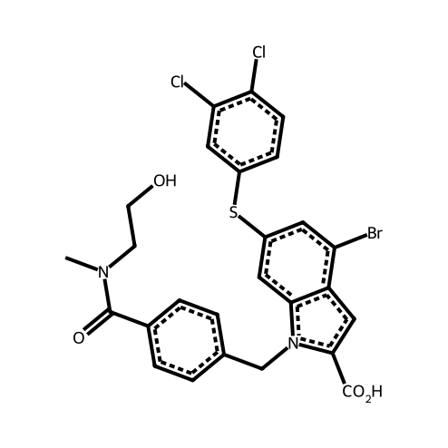 CN(CCO)C(=O)c1ccc(Cn2c(C(=O)O)cc3c(Br)cc(Sc4ccc(Cl)c(Cl)c4)cc32)cc1